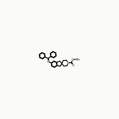 CC(C)(C)OC(=O)N1CCC2(CC1)Cc1ccc(N=C(c3ccccc3)c3ccccc3)cc1C2